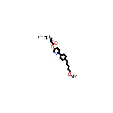 CCCCCCC/C=C/C(=O)Oc1ccc(-c2ccc(CCCCCOCCC)cc2)nc1